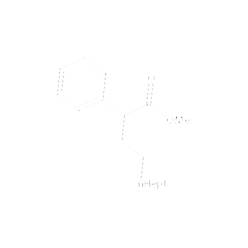 CCCCCCCCCC(C(=O)OC)c1ccccc1